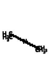 CC(C)CCCCCCCCCC[N]CCCCCCCCCCC(C)C